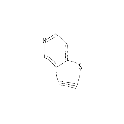 c1sc2ccncc2c#1